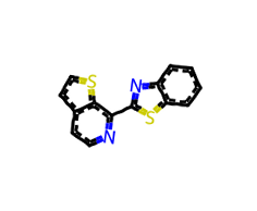 c1ccc2sc(-c3nccc4ccsc34)nc2c1